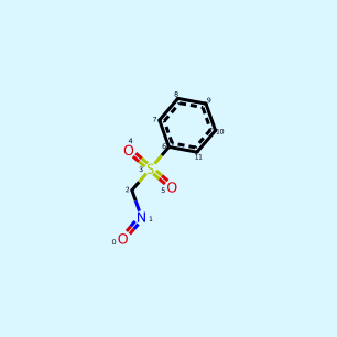 O=NCS(=O)(=O)c1ccccc1